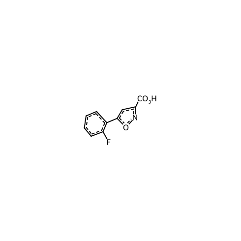 O=C(O)c1cc(-c2ccccc2F)on1